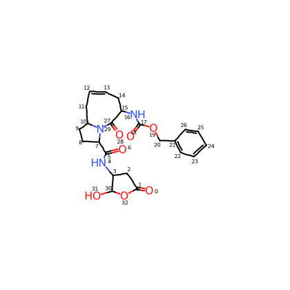 O=C1CC(NC(=O)C2CCC3CC=CCC(NC(=O)OCc4ccccc4)C(=O)N32)C(O)O1